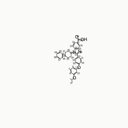 CCOc1cccc(Oc2ccc(-c3nc4cc(C(=O)O)ccc4n3C3CCCCC3)cc2)c1.c1ccccc1